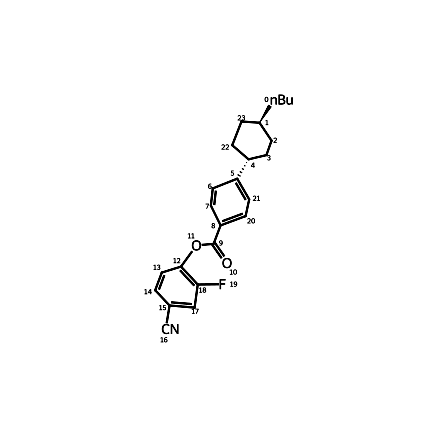 CCCC[C@H]1CC[C@H](c2ccc(C(=O)Oc3ccc(C#N)cc3F)cc2)CC1